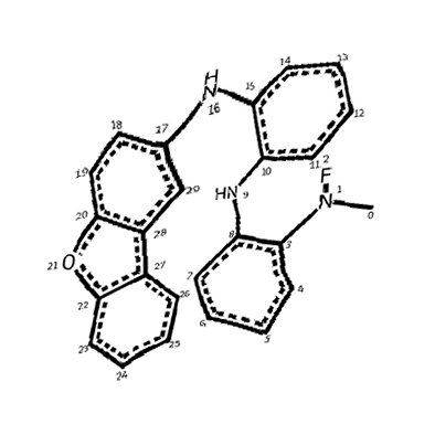 CN(F)c1ccccc1Nc1ccccc1Nc1ccc2oc3ccccc3c2c1